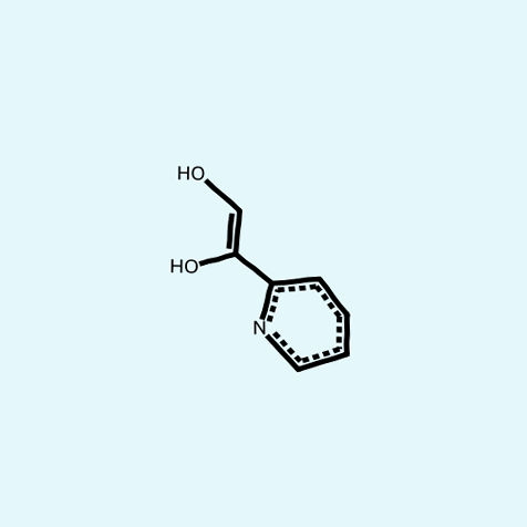 OC=C(O)c1ccccn1